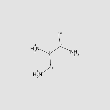 [CH2]C(N)C(N)CN